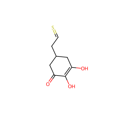 O=C1CC(CC=S)CC(O)=C1O